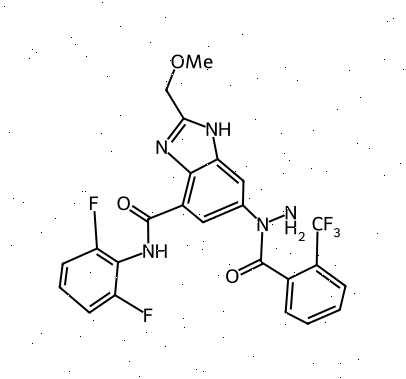 COCc1nc2c(C(=O)Nc3c(F)cccc3F)cc(N(N)C(=O)c3ccccc3C(F)(F)F)cc2[nH]1